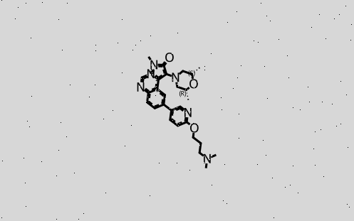 C[C@@H]1CN(c2c(=O)n(C)n3cnc4ccc(-c5ccc(OCCCN(C)C)nc5)cc4c23)C[C@H](C)O1